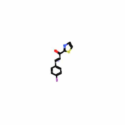 O=C(/C=C/c1ccc(I)cc1)c1nccs1